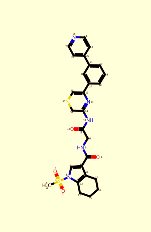 CS(=O)(=O)n1cc(C(=O)NCC(=O)NC2=NC(c3cccc(-c4ccncc4)c3)=CSC2)c2c1CCCC2